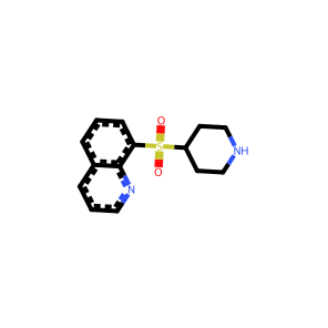 O=S(=O)(c1cccc2cccnc12)C1CCNCC1